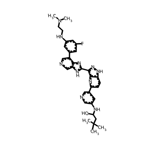 CN(C)CCNc1cc(F)cc(-c2cncc3[nH]c(-c4n[nH]c5ccc(-c6cncc(NC(O)CC(C)(C)C)c6)nc45)nc23)c1